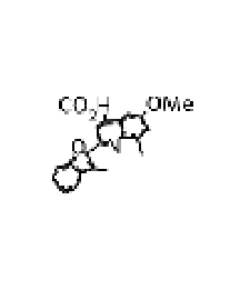 COc1cc(C)c2nc(-c3oc4ccccc4c3C)cc(C(=O)O)c2c1